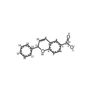 O=[N+]([O-])c1ccc2c(c1)C=CC(c1ccccc1)O2